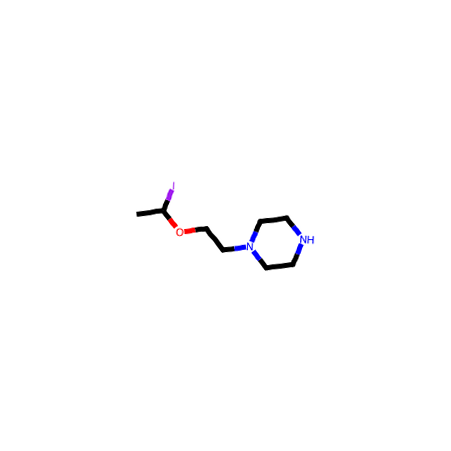 CC(I)OCCN1CCNCC1